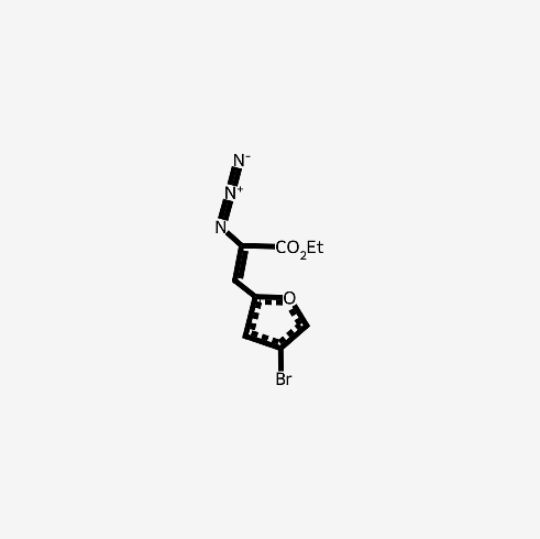 CCOC(=O)/C(=C\c1cc(Br)co1)N=[N+]=[N-]